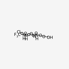 O=C(Nc1ccc(Oc2ccnc(C(=O)NCCOCCOCCCO)c2)cc1)Nc1ccc(Cl)c(C(F)(F)F)c1